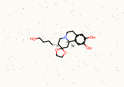 OCCCC[C@@H]1CN2CCc3cc(O)c(O)cc3[C@H]2CC12OCCO2